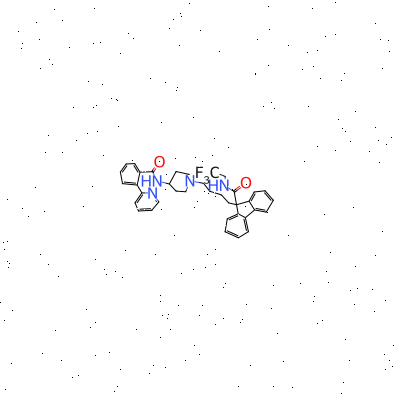 O=C(NC1CCN(CCCCC2(C(=O)NCC(F)(F)F)c3ccccc3-c3ccccc32)CC1)c1ccccc1-c1ccccn1